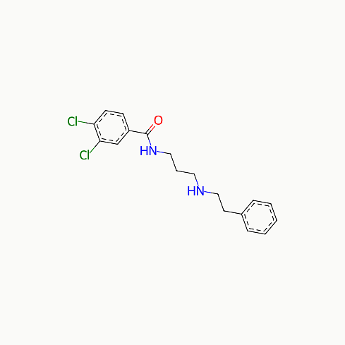 O=C(NCCCNCCc1ccccc1)c1ccc(Cl)c(Cl)c1